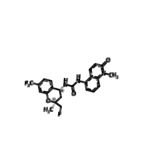 Cn1c(=O)ccc2c(NC(=O)N[C@@H]3C[C@@](C)(CF)Oc4cc(C(F)(F)F)ccc43)cccc21